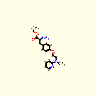 CCOC(=O)C(N)Cc1ccc(OCCN(C)c2ccccn2)cc1